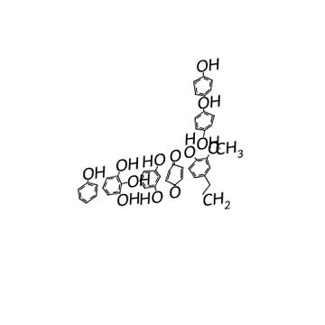 C=CCc1ccc(O)c(OC)c1.O=C1C=CC(=O)C=C1.Oc1ccc(O)cc1.Oc1cccc(O)c1.Oc1cccc(O)c1O.Oc1ccccc1.Oc1ccccc1